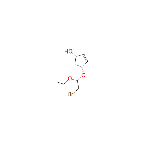 CCOC(CBr)O[C@H]1C=C[C@@H](O)C1